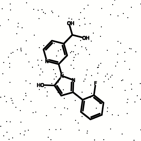 Oc1cc(-c2ccccc2F)nn1-c1cc(C(O)O)ccn1